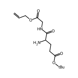 C=CCOC(=O)CNC(=O)C(N)CCC(=O)OC(C)(C)C